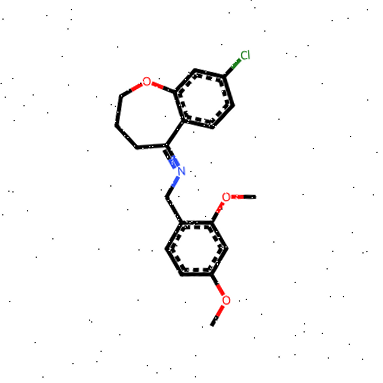 COc1ccc(CN=C2CCCOc3cc(Cl)ccc32)c(OC)c1